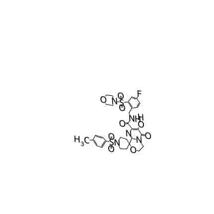 Cc1ccc(S(=O)(=O)N2CCC3(CC2)OCCn2c3nc(C(=O)NCc3ccc(F)cc3S(=O)(=O)N3CCOCC3)c(O)c2=O)cc1